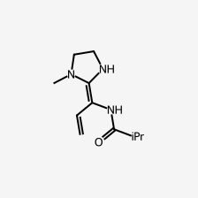 C=C/C(NC(=O)C(C)C)=C1/NCCN1C